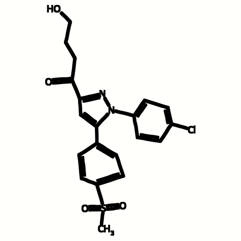 CS(=O)(=O)c1ccc(-c2cc(C(=O)CCCO)nn2-c2ccc(Cl)cc2)cc1